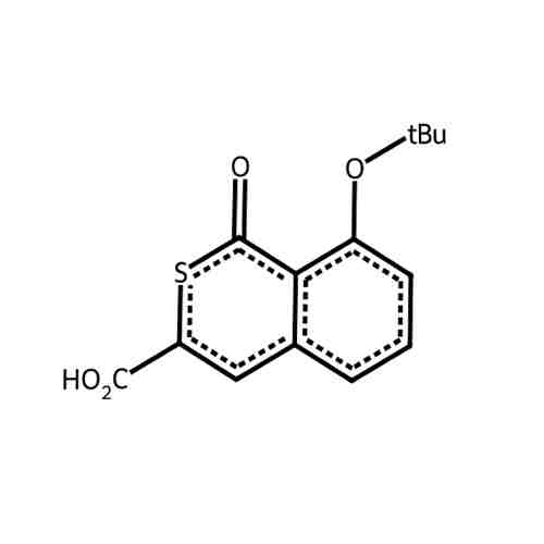 CC(C)(C)Oc1cccc2cc(C(=O)O)sc(=O)c12